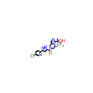 C[C@H]1CN(C(=O)c2cc(-c3ccc(Cl)cn3)nn2C)Cc2cnc(C(C)(O)C(F)(F)F)n21